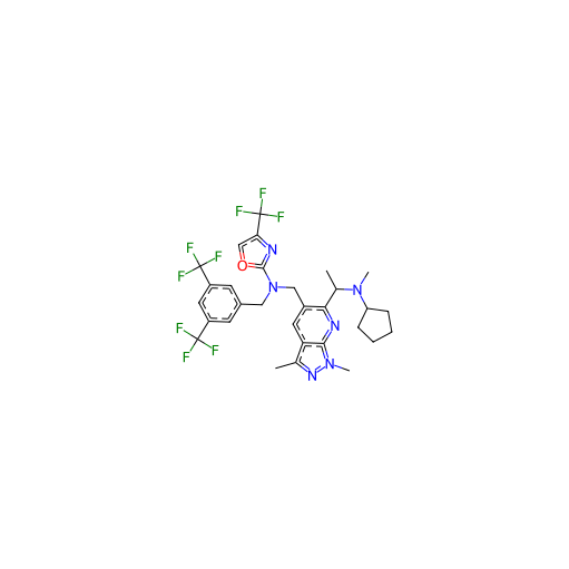 Cc1nn(C)c2nc(C(C)N(C)C3CCCC3)c(CN(Cc3cc(C(F)(F)F)cc(C(F)(F)F)c3)c3nc(C(F)(F)F)co3)cc12